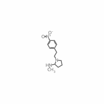 CNC1CCCN1CCc1ccc([N+](=O)[O-])cc1